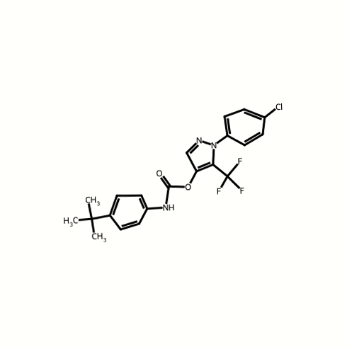 CC(C)(C)c1ccc(NC(=O)Oc2cnn(-c3ccc(Cl)cc3)c2C(F)(F)F)cc1